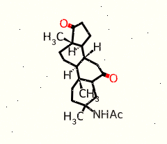 CC(=O)NC1(C)CC[C@@]2(C)C(C1)C(=O)C[C@@H]1[C@@H]2CC[C@]2(C)C(=O)CC[C@@H]12